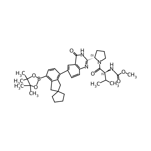 COC(=O)N[C@H](C(=O)N1CCC[C@H]1c1nc2ccc(-c3ccc(B4OC(C)(C)C(C)(C)O4)c4c3CC3(CCCC3)C4)cc2c(=O)[nH]1)C(C)C